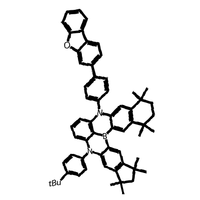 CC(C)(C)c1ccc(N2c3cc4c(cc3B3c5cc6c(cc5N(c5ccc(-c7ccc8c(c7)oc7ccccc78)cc5)c5cccc2c53)C(C)(C)CCC6(C)C)C(C)(C)CC4(C)C)cc1